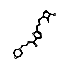 CC1C(Cl)CC[C@@H]1CCCc1ccc(C(=O)OCCN2CCOCC2)s1